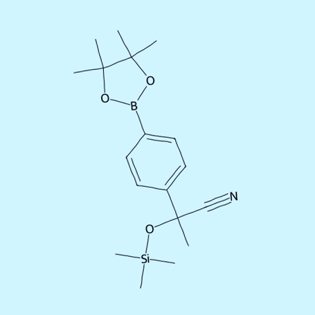 CC(C#N)(O[Si](C)(C)C)c1ccc(B2OC(C)(C)C(C)(C)O2)cc1